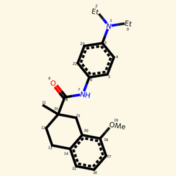 CCN(CC)c1ccc(NC(=O)C2(C)CCc3cccc(OC)c3C2)cc1